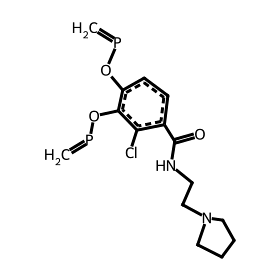 C=POc1ccc(C(=O)NCCN2CCCC2)c(Cl)c1OP=C